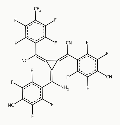 N#C/C(=C1\C(=C(N)c2c(F)c(F)c(C#N)c(F)c2F)\C1=C(\C#N)c1c(F)c(F)c(C#N)c(F)c1F)c1c(F)c(F)c(C(F)(F)F)c(F)c1F